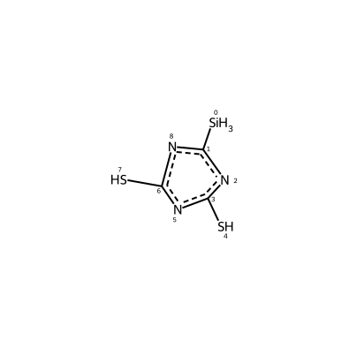 [SiH3]c1nc(S)nc(S)n1